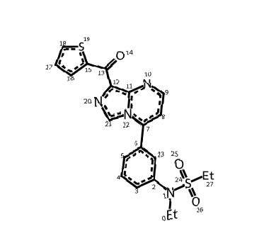 CCN(c1cccc(-c2ccnc3c(C(=O)c4cccs4)ncn23)c1)S(=O)(=O)CC